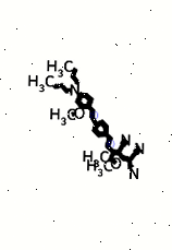 CCCCN(CCCC)c1ccc(/C=C/c2ccc(/C=C/C3=C(C#N)C(=C(C#N)C#N)OC3(C)C)cc2)c(OC)c1